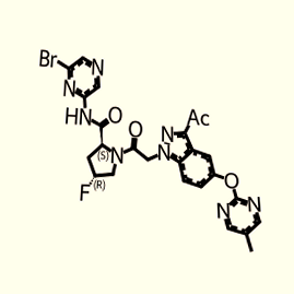 CC(=O)c1nn(CC(=O)N2C[C@H](F)C[C@H]2C(=O)Nc2cncc(Br)n2)c2ccc(Oc3ncc(C)cn3)cc12